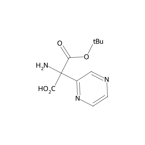 CC(C)(C)OC(=O)C(N)(C(=O)O)c1cnccn1